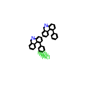 Cl.Cl.Cl.Cl.c1ccc(-c2cccc3ncc4ccccc4c23)cc1.c1ccc(-c2cccc3ncc4ccccc4c23)cc1